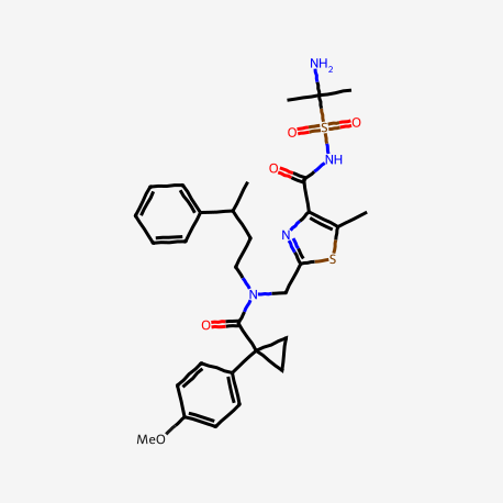 COc1ccc(C2(C(=O)N(CCC(C)c3ccccc3)Cc3nc(C(=O)NS(=O)(=O)C(C)(C)N)c(C)s3)CC2)cc1